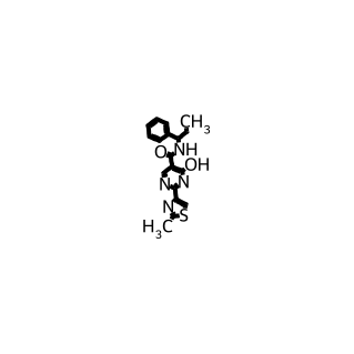 CCC(NC(=O)c1cnc(-c2csc(C)n2)nc1O)c1ccccc1